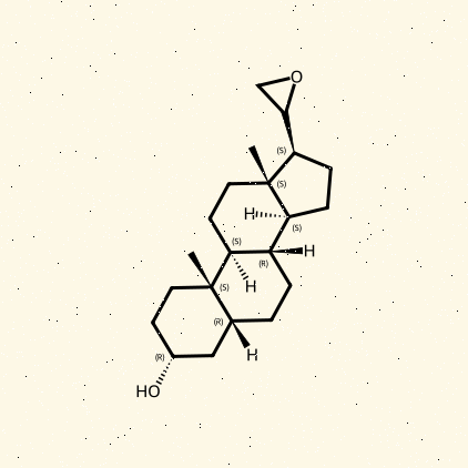 C[C@]12CC[C@@H](O)C[C@H]1CC[C@@H]1[C@@H]2CC[C@]2(C)[C@@H](C3CO3)CC[C@@H]12